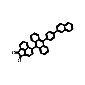 O=C1C(=O)c2ccc(-c3c4ccccc4c(-c4ccc(-c5ccc6ccccc6c5)cc4)c4ccccc34)c3cccc1c23